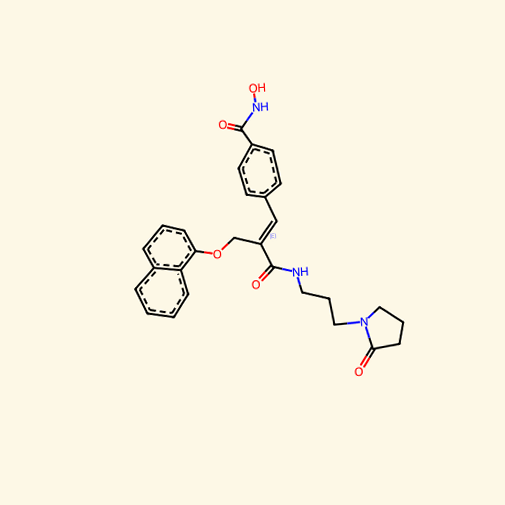 O=C(NCCCN1CCCC1=O)/C(=C/c1ccc(C(=O)NO)cc1)COc1cccc2ccccc12